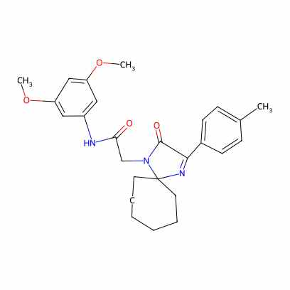 COc1cc(NC(=O)CN2C(=O)C(c3ccc(C)cc3)=NC23CCCCCC3)cc(OC)c1